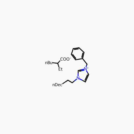 CCCCC(CC)C(=O)[O-].CCCCCCCCCCCCn1cc[n+](Cc2ccccc2)c1